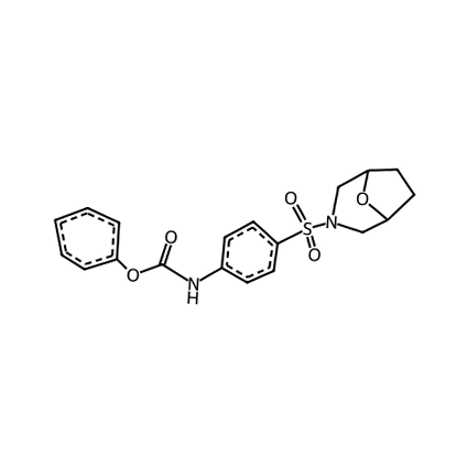 O=C(Nc1ccc(S(=O)(=O)N2CC3CCC(C2)O3)cc1)Oc1ccccc1